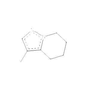 Cc1cnn2c1CCCC2